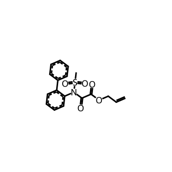 C=CCOC(=O)C(=O)N(c1ccccc1-c1ccccc1)S(C)(=O)=O